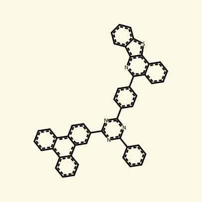 c1ccc(-c2nc(-c3ccc(-c4nc5c6ccccc6sc5c5ccccc45)cc3)nc(-c3ccc4c5ccccc5c5ccccc5c4c3)n2)cc1